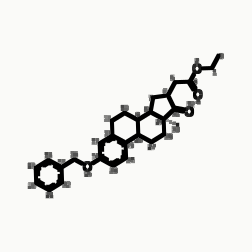 CCOC(=O)CC1CC2C3CCc4cc(OCc5ccccc5)ccc4C3CC[C@]2(C)C1=O